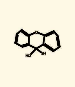 OC1(S)c2ccccc2Oc2ccccc21